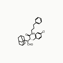 O=CN([C@@H](Cc1ccc(Cl)cc1)C(=O)NCCCc1ccccc1)C12CC3CC(CC(C3)C1)C2